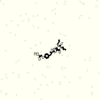 CCCn1c(=O)c2nc(C(C)Cc3ccc(OCC(=O)O)cc3)[nH]c2n(CCC)c1=O